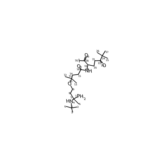 CC(C)(C)NC(C)(P)CCOC(C)(C)CCC(=O)NC(CCC(=O)C(C)(C)C)C(=O)I